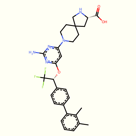 Cc1cccc(-c2ccc([C@@H](Oc3cc(N4CCC5(CC4)CN[C@H](C(=O)O)C5)nc(N)n3)C(F)(F)F)cc2)c1C